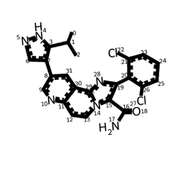 CC(C)c1[nH]ncc1-c1cnc2ccn3c(C(N)=O)c(-c4c(Cl)cccc4Cl)nc3c2c1